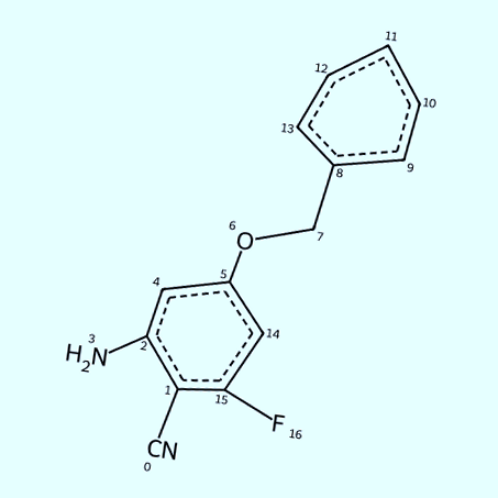 N#Cc1c(N)cc(OCc2ccccc2)cc1F